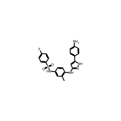 Cc1cc(NS(=O)(=O)c2ccc(F)cc2)ccc1Nc1cc(-c2ccc(N)cc2)[nH]n1